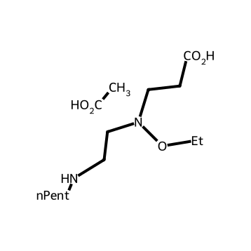 CC(=O)O.CCCCCNCCN(CCC(=O)O)OCC